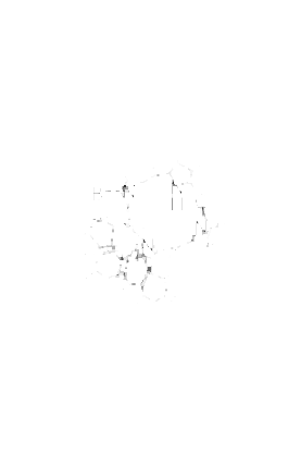 BrC1=Cc2cc3ccc(cc4nc(cc5c(-c6ccccc6)c(-c6ccccc6)c(c(-c6ccccc6)c1n2)n5-c1ccccc1)C=C4)[nH]3